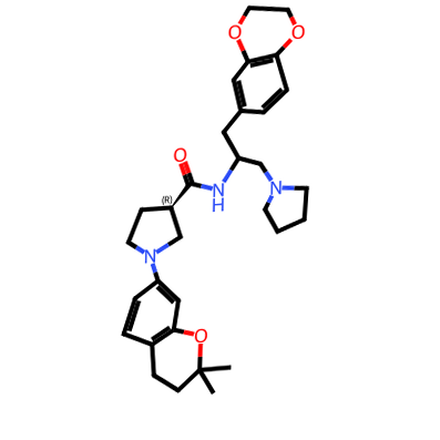 CC1(C)CCc2ccc(N3CC[C@@H](C(=O)NC(Cc4ccc5c(c4)OCCO5)CN4CCCC4)C3)cc2O1